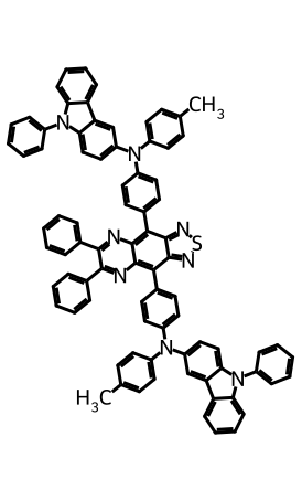 Cc1ccc(N(c2ccc(-c3c4nsnc4c(-c4ccc(N(c5ccc(C)cc5)c5ccc6c(c5)c5ccccc5n6-c5ccccc5)cc4)c4nc(-c5ccccc5)c(-c5ccccc5)nc34)cc2)c2ccc3c(c2)c2ccccc2n3-c2ccccc2)cc1